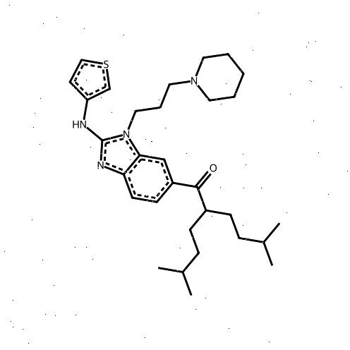 CC(C)CCC(CCC(C)C)C(=O)c1ccc2nc(Nc3ccsc3)n(CCCN3CCCCC3)c2c1